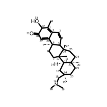 CC1=C2C=CC3[C@@](C)(CC[C@@]4(C)[C@@H]5C[C@](C)(CN(C)C)CC[C@]5(C)CC[C@@]34C)C2=CC(=O)C1O